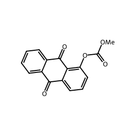 COC(=O)Oc1cccc2c1C(=O)c1ccccc1C2=O